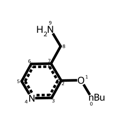 CCCCOc1cnccc1CN